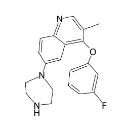 Cc1cnc2ccc(N3CCNCC3)cc2c1Oc1cccc(F)c1